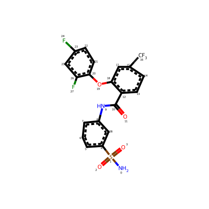 NS(=O)(=O)c1cccc(NC(=O)c2ccc(C(F)(F)F)cc2Oc2ccc(F)cc2F)c1